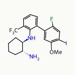 COc1cc(-c2cccc(C(F)(F)F)c2N[C@@H]2CCCC[C@H]2N)c(F)cc1I